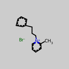 Cc1cccc[n+]1CCCc1ccccc1.[Br-]